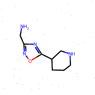 NCc1noc(C2CCCNC2)n1